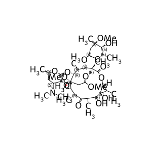 COC(=O)CCO[C@H]1[C@H](O[C@@H]2[C@@H](C)[C@H](O[C@H]3C[C@@](C)(OC)[C@@H](O)[C@H](C)O3)[C@@H](C)C(=O)O[C@@H]3C(C)[C@]3(O)[C@H](O)C(C)C(=O)[C@H](C)C[C@]2(C)OC)O[C@H](C)C[C@@H]1N(C)C